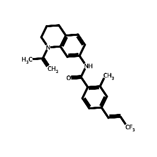 C=C(C)N1CCCc2ccc(NC(=O)c3ccc(/C=C/C(F)(F)F)cc3C)cc21